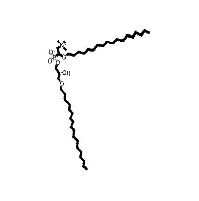 CCCCCCCCCCCCCCCCCCOC[C@@H](O)COP(=O)([O-])C(C[N+](C)(C)C)OCCCCCCCCCCCCCCCCCC